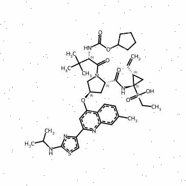 C=C[C@@H]1C[C@]1(NC(=O)[C@@H]1C[C@@H](Oc2cc(-c3csc(NC(C)C)n3)nc3cc(C)ccc23)CN1C(=O)[C@@H](NC(=O)OC1CCCC1)C(C)(C)C)P(=O)(O)CC